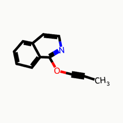 CC#COc1nccc2ccccc12